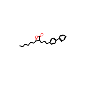 CCCCCCC1OC(=O)C1CCCc1ccc(-c2ccccc2)cc1